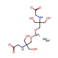 O=C([O-])CNC(CO)(CO)CO[SiH2]OCC(CO)(CO)NCC(=O)[O-].[Na+].[Na+]